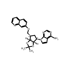 CC1(C)O[C@@H]2[C@@H](COc3ccc4cccnc4c3)C[C@@H](n3ccc4c(N)ncnc43)[C@@H]2O1